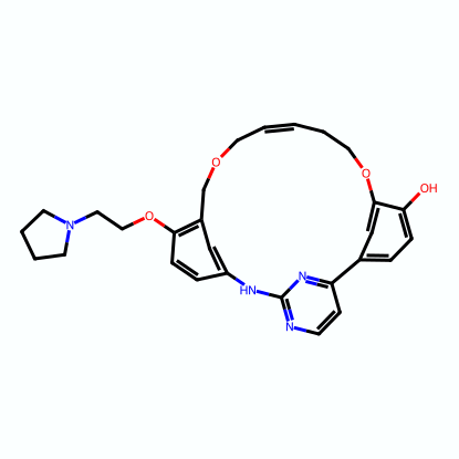 Oc1ccc2cc1OCC/C=C\COCc1cc(ccc1OCCN1CCCC1)Nc1nccc-2n1